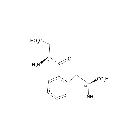 N[C@@H](Cc1ccccc1C(=O)[C@@H](N)CC(=O)O)C(=O)O